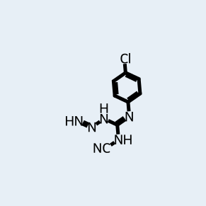 N#CNC(=Nc1ccc(Cl)cc1)NN=N